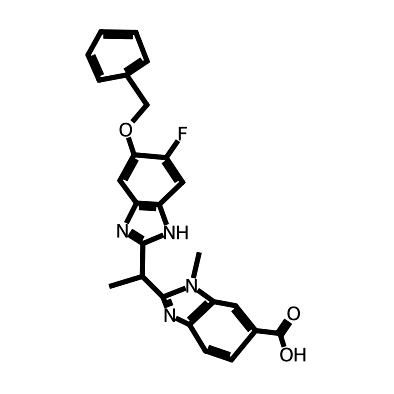 CC(c1nc2cc(OCc3ccccc3)c(F)cc2[nH]1)c1nc2ccc(C(=O)O)cc2n1C